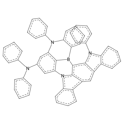 c1ccc(N(c2ccccc2)c2cc3c4c(c2)-n2c5ccccc5c5cc6c7ccccc7n(-c7ccccc7)c6c(c52)B4c2ccccc2N3c2ccccc2)cc1